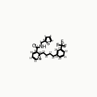 O=C(NCc1cccs1)c1cccnc1CCCCc1cccc(C(F)(F)F)c1